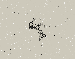 Cc1cc(C2CCN(C(=O)C(F)(F)F)CC2)cc(Nc2cc(C#N)ccn2)n1